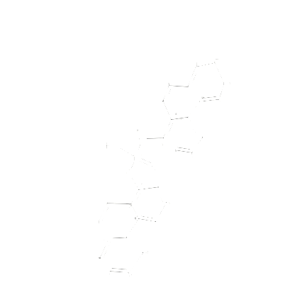 O=P(O)(Oc1cccc2c1ccc1ccccc12)Oc1cccc2c1ccc1ccccc12